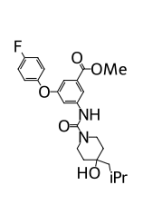 COC(=O)c1cc(NC(=O)N2CCC(O)(CC(C)C)CC2)cc(Oc2ccc(F)cc2)c1